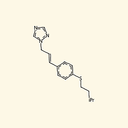 CC(C)CCSc1ccc(C=CCn2cncn2)cc1